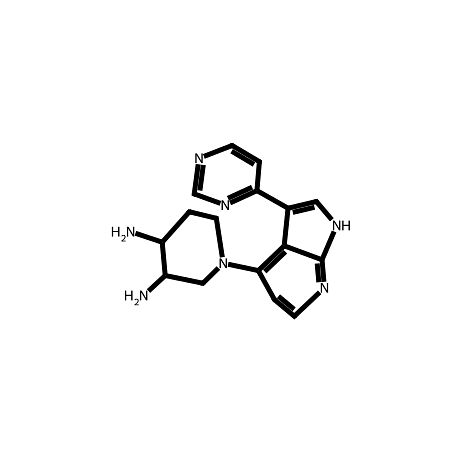 NC1CCN(c2ccnc3[nH]cc(-c4ccncn4)c23)CC1N